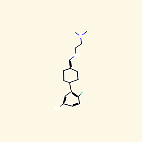 CN(C)CCNC=C1CCC(c2cc(C(F)(F)F)ccc2F)CC1